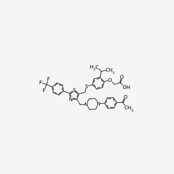 CC(=O)c1ccc(N2CCN(Cc3nc(-c4ccc(C(F)(F)F)cc4)sc3CSc3ccc(OCC(=O)O)c(C(C)C)c3)CC2)cc1